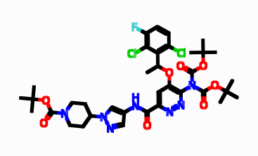 CC(Oc1cc(C(=O)Nc2cnn(C3CCN(C(=O)OC(C)(C)C)CC3)c2)nnc1N(C(=O)OC(C)(C)C)C(=O)OC(C)(C)C)c1c(Cl)ccc(F)c1Cl